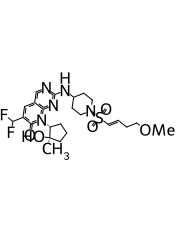 COCC/C=C/S(=O)(=O)N1CCC(Nc2ncc3cc(C(F)F)c(=O)n([C@@H]4CCC[C@@]4(C)O)c3n2)CC1